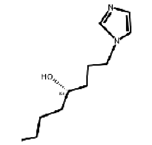 CCCC[C@H](O)CCCn1ccnc1